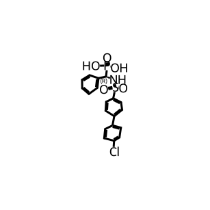 O=P(O)(O)[C@@H](NS(=O)(=O)c1ccc(-c2ccc(Cl)cc2)cc1)c1ccccc1